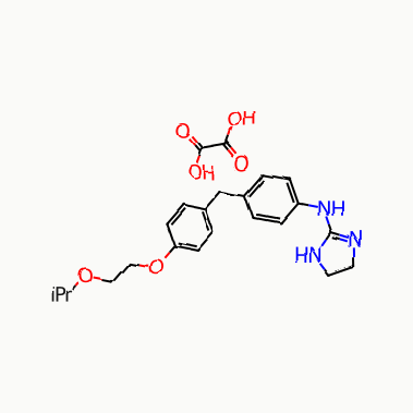 CC(C)OCCOc1ccc(Cc2ccc(NC3=NCCN3)cc2)cc1.O=C(O)C(=O)O